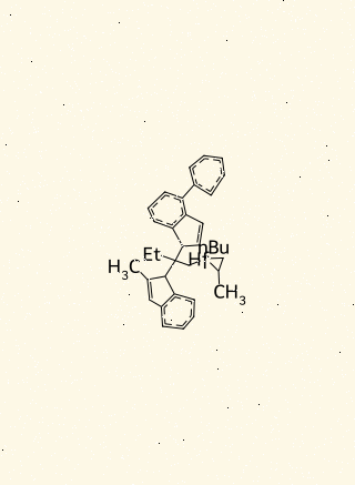 CCC[CH2][Hf]1([CH2]C(CC)(C2C=Cc3c(-c4ccccc4)cccc32)C2C(C)=Cc3ccccc32)[CH2][CH]1C